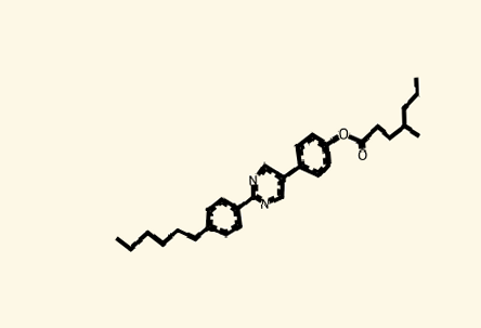 CCCCCCc1ccc(-c2ncc(-c3ccc(OC(=O)CCC(C)CCC)cc3)cn2)cc1